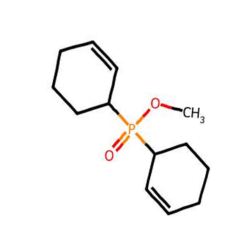 COP(=O)(C1C=CCCC1)C1C=CCCC1